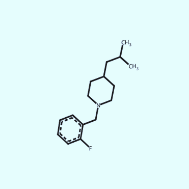 CC(C)CC1CCN(Cc2ccccc2F)CC1